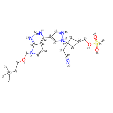 C[Si](C)(C)CCOCn1ccc2c(-c3cnn(C4(CC#N)CC(COS(C)(=O)=O)C4)c3)ncnc21